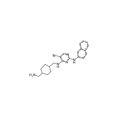 NCC1CCC(CNc2nc(Nc3ccc4ccccc4c3)ncc2Br)CC1